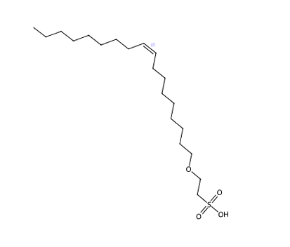 CCCCCCCC/C=C\CCCCCCCCOCCS(=O)(=O)O